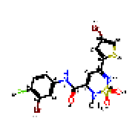 CN1C(C(=O)Nc2ccc(F)c(Br)c2)=CC(c2cc(Br)cs2)=NS1(=O)=O